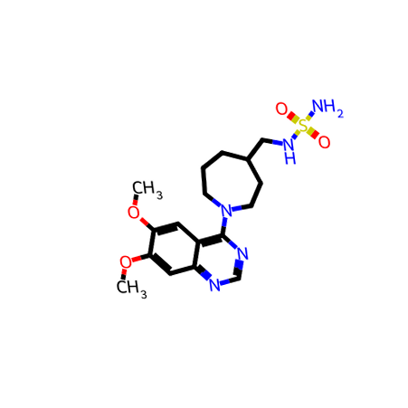 COc1cc2ncnc(N3CCCC(CNS(N)(=O)=O)CC3)c2cc1OC